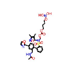 CC(=O)NCc1cc(-c2ncco2)ccc1-c1ccccc1S(=O)(=O)N(COC(=O)OCCCCON(O)O)c1onc(C)c1C